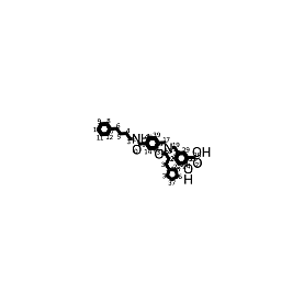 O=C(NCCCCc1ccccc1)c1ccc(CN(Cc2ccc(O)c(C(=O)O)c2)C(=O)CCC2CCCC2)cc1